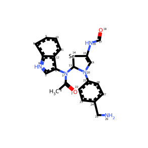 CC(=O)N(c1c[nH]c2ccccc12)C1[Se]C(NC=O)=CN1c1ccc(CN)cc1